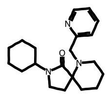 O=C1N(C2CCCCC2)CCC12CCCCN2Cc1ccccn1